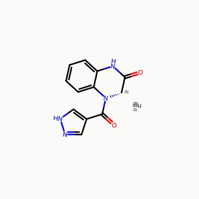 CC[C@H](C)[C@H]1C(=O)Nc2ccccc2N1C(=O)c1cn[nH]c1